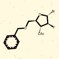 CC(=O)O[C@H]1[C@H](F)[C@@H](Br)O[C@@H]1COCc1ccccc1